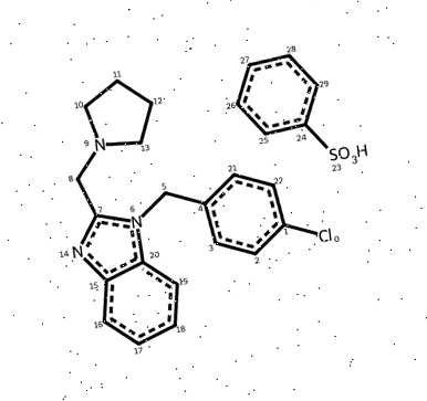 Clc1ccc(Cn2c(CN3CCCC3)nc3ccccc32)cc1.O=S(=O)(O)c1ccccc1